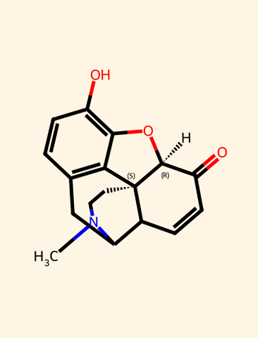 CN1CC[C@]23c4c5ccc(O)c4O[C@H]2C(=O)C=CC3C1C5